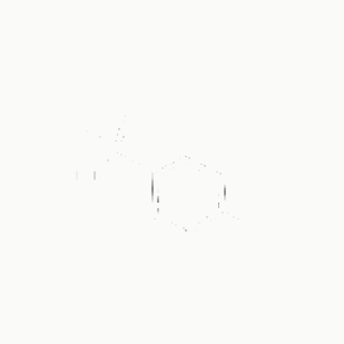 Cc1ccc([SH](C)(N)=O)cc1